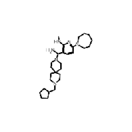 CNc1nc(N2CCCCCC2)ccc1C(N)N1CCC2(CCN(CC3CCCC3)CC2)CC1